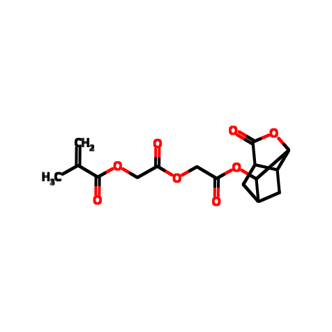 C=C(C)C(=O)OCC(=O)OCC(=O)OC1C2CC3C(=O)OC1C3C2